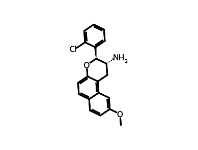 COc1ccc2ccc3c(c2c1)C[C@@H](N)[C@H](c1ccccc1Cl)O3